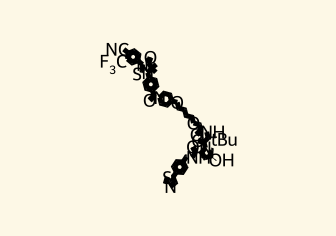 CC(C)(C)[C@H](NC(=O)COCCCCOC1CCN(C(=O)c2ccc(N3C(=S)N(c4ccc(C#N)c(C(F)(F)F)c4)C(=O)C3(C)C)cc2)CC1)C(=O)N1C[C@H](O)C[C@H]1C(=O)NCc1ccc(-c2cncs2)cc1